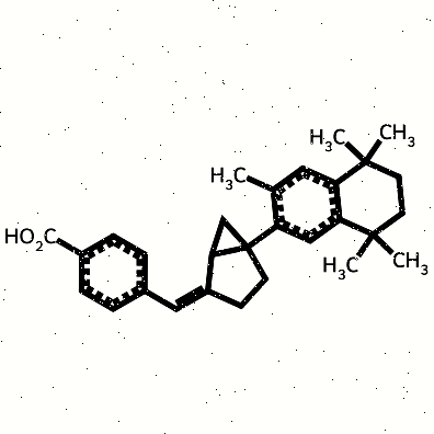 Cc1cc2c(cc1C13CCC(=Cc4ccc(C(=O)O)cc4)C1C3)C(C)(C)CCC2(C)C